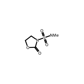 CNS(=O)(=O)N1CCOC1=O